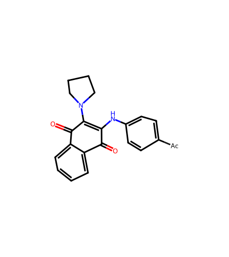 CC(=O)c1ccc(NC2=C(N3CCCC3)C(=O)c3ccccc3C2=O)cc1